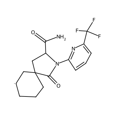 NC(=O)C1CC2(C[CH]CCC2)C(=O)N1c1cccc(C(F)(F)F)n1